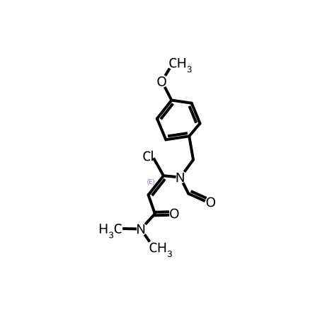 COc1ccc(CN(C=O)/C(Cl)=C\C(=O)N(C)C)cc1